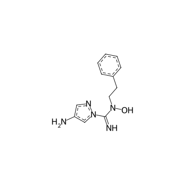 N=C(N(O)CCc1ccccc1)n1cc(N)cn1